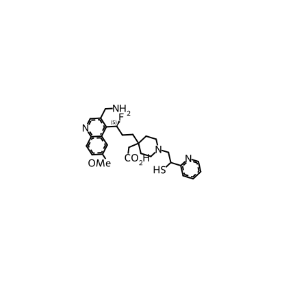 COc1ccc2ncc(CN)c([C@@H](F)CCC3(CC(=O)O)CCN(CC(S)c4ccccn4)CC3)c2c1